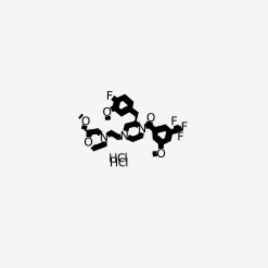 COC[C@@H]1CN(CCN2CCN(C(=O)c3cc(OC)cc(C(F)(F)F)c3)[C@H](Cc3ccc(F)c(OC)c3)C2)CCO1.Cl.Cl